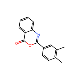 Cc1ccc(-c2nc3ccccc3c(=O)o2)cc1C